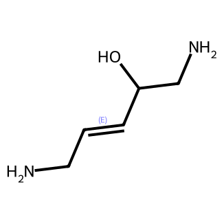 NC/C=C/C(O)CN